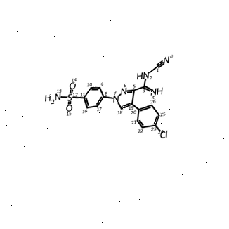 N#CNC(=N)c1nn(-c2ccc(S(N)(=O)=O)cc2)cc1-c1ccc(Cl)cc1